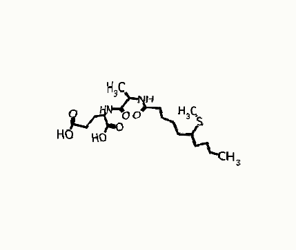 CCCCC(CCCCC(=O)NC(C)C(=O)NC(CCC(=O)O)C(=O)O)SC